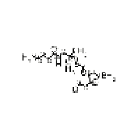 B[C@H]1C[C@@H](OCSSC(C)(C)CNC(=O)CCCN)C(CCO)O1